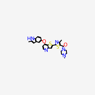 Cc1cc2cc(Oc3ccnc4cc(-c5nc(C)c(C(=O)N6CCN(C)CC6)s5)sc34)ccc2[nH]1